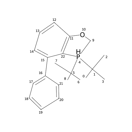 CC(C)(C)[PH]1(C(C)(C)C)COc2cccc(-c3ccccc3)c21